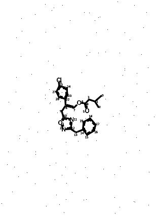 CC(C)CC(=O)OC=C(Cc1nc(Cc2ccccc2)no1)c1ccc(Cl)cc1